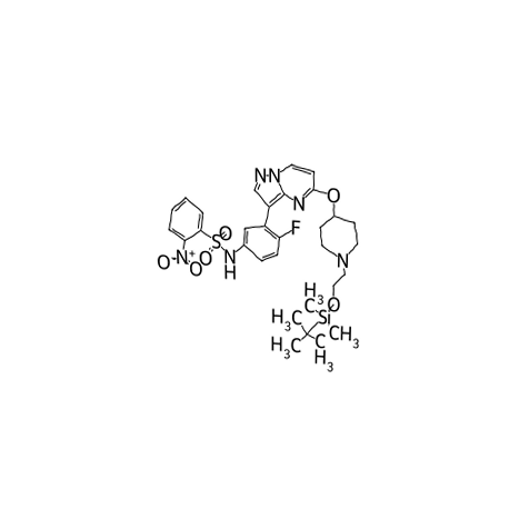 CC(C)(C)[Si](C)(C)OCCN1CCC(Oc2ccn3ncc(-c4cc(NS(=O)(=O)c5ccccc5[N+](=O)[O-])ccc4F)c3n2)CC1